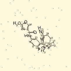 Cc1nc(C(=O)Nc2ccc(F)c(C3(C)N=C(N)CCC4(CCC4)C3(F)F)c2)co1